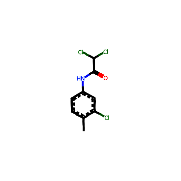 Cc1ccc(NC(=O)C(Cl)Cl)cc1Cl